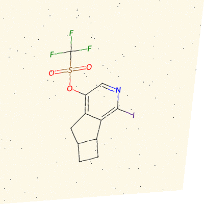 O=S(=O)(Oc1cnc(I)c2c1CC1CCC21)C(F)(F)F